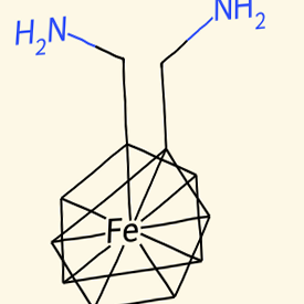 NC[C]12[CH]3[CH]4[CH]5[CH]1[Fe]45321678[CH]2[CH]1[CH]6[C]7(CN)[CH]28